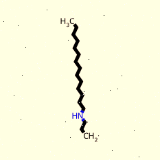 [CH2]C[CH]NCCCCCCCCCCCCCC